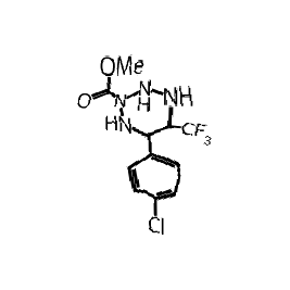 COC(=O)N1NNC(C(F)(F)F)C(c2ccc(Cl)cc2)N1